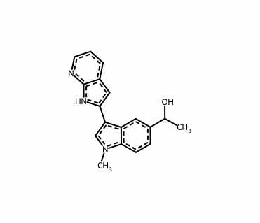 CC(O)c1ccc2c(c1)c(-c1cc3cccnc3[nH]1)cn2C